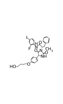 C[C@@H](c1ccccc1)[C@@H](C(=O)Nc1ccc(I)cc1F)N1C(=O)NC(c2ccc(OCCCCO)cc2)C1=O